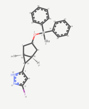 CC(C)(C)[Si](OC1C[C@@H]2[C@H](C1)[C@@H]2c1cc(I)n[nH]1)(c1ccccc1)c1ccccc1